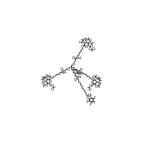 CC(=O)NC1C(OC(C)=O)[C@@H](OC(C)=O)C(COC(C)=O)O[C@H]1OCCCCCCNC(=O)CCOCC(CN/C=C(/CNC(=O)CCCCCCCCCCC(=O)Oc1c(F)c(F)c(F)c(F)c1F)N=N)(COCCC(=O)NCCCCCCO[C@@H]1OC(COC(C)=O)[C@H](OC(C)=O)C(OC(C)=O)C1NC(C)=O)COCCC(=O)NCCCCCCO[C@@H]1OC(COC(C)=O)[C@H](OC(C)=O)C(OC(C)=O)[C@@H]1NC(C)=O